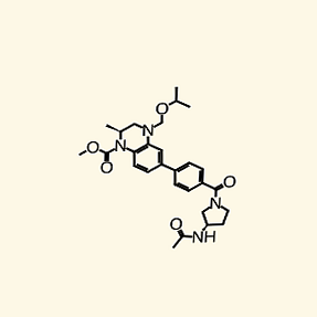 COC(=O)N1c2ccc(-c3ccc(C(=O)N4CC[C@@H](NC(C)=O)C4)cc3)cc2N(COC(C)C)C[C@@H]1C